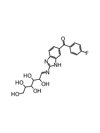 O=C(c1ccc(F)cc1)c1ccc2nc(/N=C/C(O)C(O)C(O)C(O)CO)[nH]c2c1